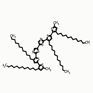 CCCCCCCCCCCCc1cc(C)sc1-c1cc(CCCCCCCCCCCC)c(-c2ncc(-c3cnc(-c4sc(-c5sc(C)cc5CCCCCCCCCCCC)cc4CCCCCCCCCCCC)s3)s2)s1